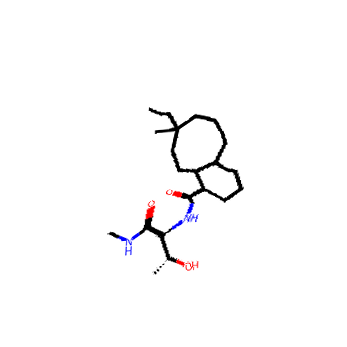 CCC1(C)CCCC2CCCC(C(=O)N[C@H](C(=O)NC)[C@@H](C)O)C2CC1